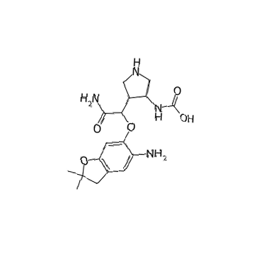 CC1(C)Cc2cc(N)c(OC(C(N)=O)C3CNCC3NC(=O)O)cc2O1